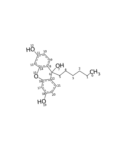 CCCCCCC1(O)c2ccc(O)cc2Oc2cc(O)ccc21